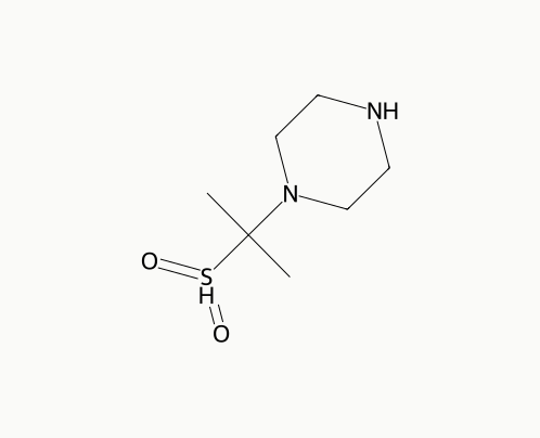 CC(C)(N1CCNCC1)[SH](=O)=O